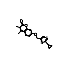 Cc1c(C)c2ccc(OCc3csc(C4CC4)n3)cc2oc1=O